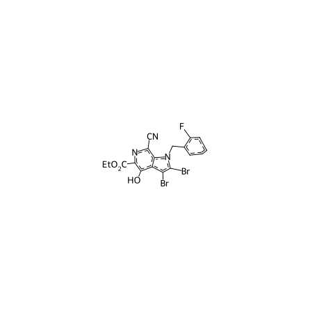 CCOC(=O)c1nc(C#N)c2c(c1O)c(Br)c(Br)n2Cc1ccccc1F